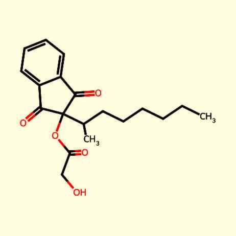 CCCCCCC(C)C1(OC(=O)CO)C(=O)c2ccccc2C1=O